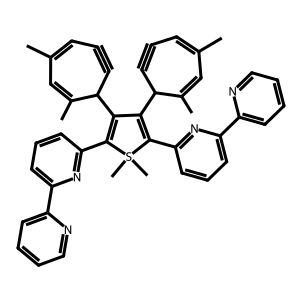 CC1=CC#CC(C2=C(c3cccc(-c4ccccn4)n3)S(C)(C)C(c3cccc(-c4ccccn4)n3)=C2C2C#CC=C(C)C=C2C)C(C)=C1